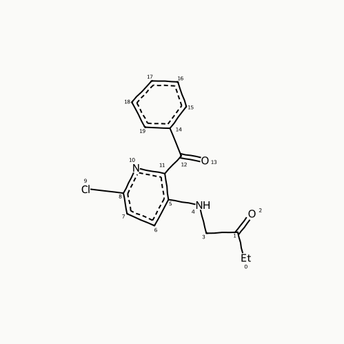 CCC(=O)CNc1ccc(Cl)nc1C(=O)c1ccccc1